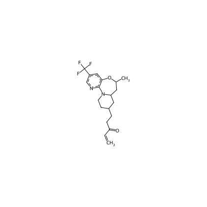 C=CC(=O)CCC1CCN2c3ncc(C(F)(F)F)cc3OC(C)CC2C1